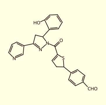 O=Cc1ccc(C2CC=C(C(=O)N3N=C(c4cccnc4)CC3c3ccccc3O)S2)cc1